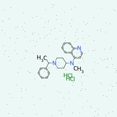 CC(c1ccccc1)N1CCC(N(C)c2ccnc3ccccc23)CC1.Cl.Cl